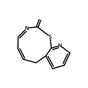 C=C1/N=C\C=C/Cc2cccnc2S1